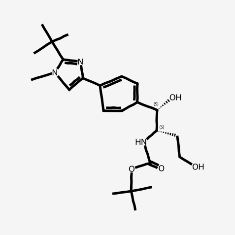 Cn1cc(-c2ccc([C@H](O)[C@H](CCO)NC(=O)OC(C)(C)C)cc2)nc1C(C)(C)C